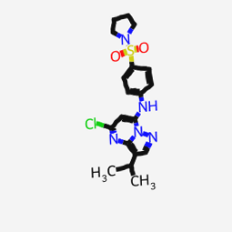 CC(C)c1cnn2c(Nc3ccc(S(=O)(=O)N4CCCC4)cc3)cc(Cl)nc12